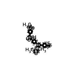 CCS(=O)(=O)c1ccc([C@H](CO)NC(=O)c2ccc(N3CC(c4ccc(C(F)(F)F)cc4)C[C@H]3CN3C(C)COCC3C)cc2)cc1